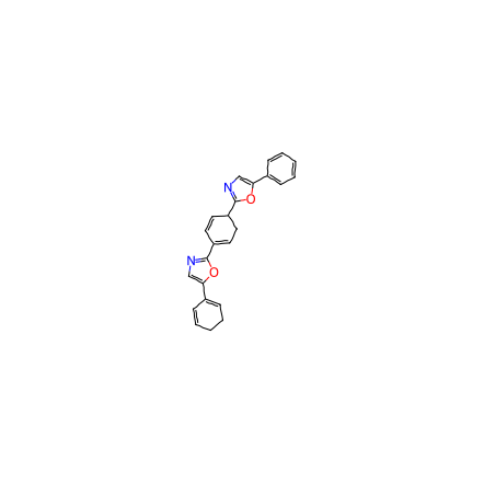 C1=CC(c2cnc(C3=CCC(c4ncc(-c5ccccc5)o4)C=C3)o2)=CCC1